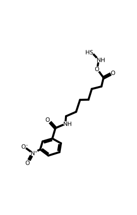 O=C(CCCCCCNC(=O)c1cccc([N+](=O)[O-])c1)ONS